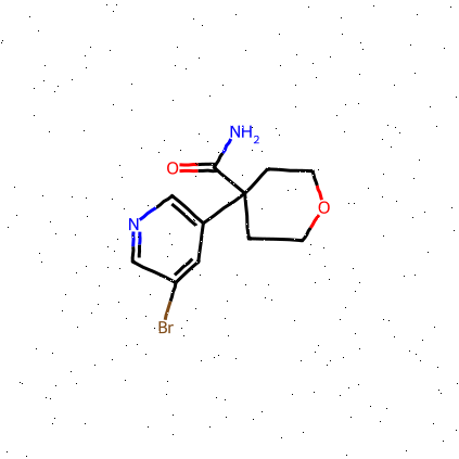 NC(=O)C1(c2cncc(Br)c2)CCOCC1